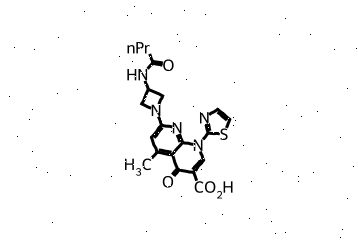 CCCC(=O)NC1CN(c2cc(C)c3c(=O)c(C(=O)O)cn(-c4nccs4)c3n2)C1